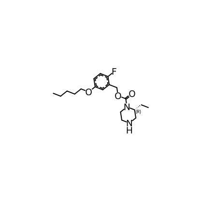 CCCCCOc1ccc(F)c(COC(=O)N2CCNC[C@H]2CC)c1